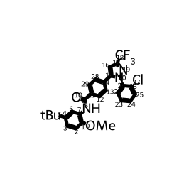 COc1ccc(C(C)(C)C)cc1NC(=O)c1ccc(-c2cc(C(F)(F)F)nn2-c2ccccc2Cl)cc1